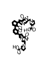 Cn1c(CN2CC[C@H](C(=O)O)C2)cn2cc(-c3cccc(-c4cccc(-c5cc6c(=O)n(C)c(CN7CC[C@H](C(=O)O)C7)cn6c5)c4Cl)c3Cl)cc2c1=O